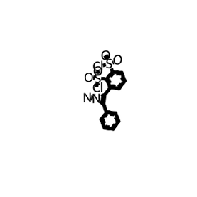 [N-]=[N+]1C(c2ccccc2)=C1c1cccc(S(=O)(=O)Cl)c1S(=O)(=O)Cl